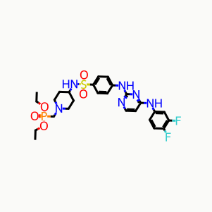 CCOP(=O)(CN1CCC(NS(=O)(=O)c2ccc(Nc3nccc(Nc4ccc(F)c(F)c4)n3)cc2)CC1)OCC